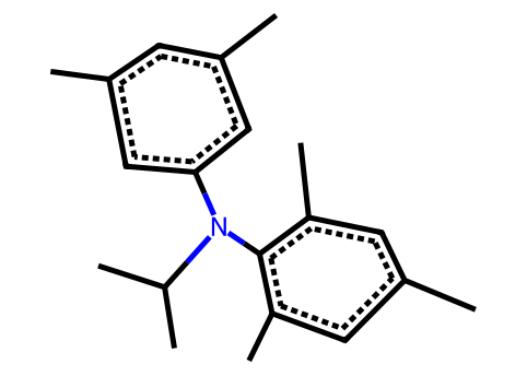 Cc1cc(C)cc(N(c2c(C)cc(C)cc2C)C(C)C)c1